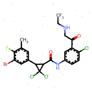 Cc1cc(C2C(C(=O)Nc3ccc(Cl)c(C(=O)CNCC(F)(F)F)c3)C2(Cl)Cl)cc(Br)c1F